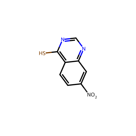 O=[N+]([O-])c1ccc2c(S)ncnc2c1